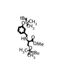 COC(=O)C(CO[Si](C)(C)C(C)(C)C)NCc1cccc(O[Si](C)(C)C(C)(C)C)c1